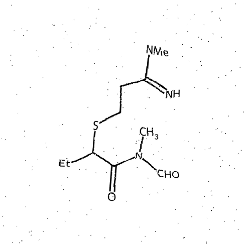 CCC(SCCC(=N)NC)C(=O)N(C)C=O